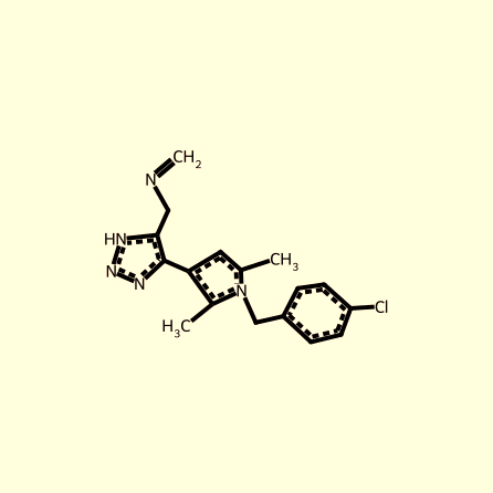 C=NCc1[nH]nnc1-c1cc(C)n(Cc2ccc(Cl)cc2)c1C